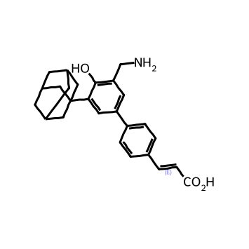 NCc1cc(-c2ccc(/C=C/C(=O)O)cc2)cc(C23CC4CC(CC(C4)C2)C3)c1O